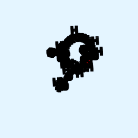 CC(C)(C)OC(=O)NCCOCCNC(=O)C1CNC(=O)c2ccc(n(OCc3ccccc3)c2=O)C(=O)NCCCNCCCCNCCCNC(=O)c2ccc(c(=O)n2OCc2ccccc2)C(O)N1